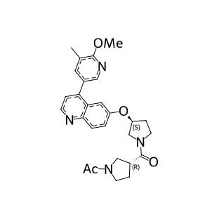 COc1ncc(-c2ccnc3ccc(O[C@H]4CCN(C(=O)[C@@H]5CCN(C(C)=O)C5)C4)cc23)cc1C